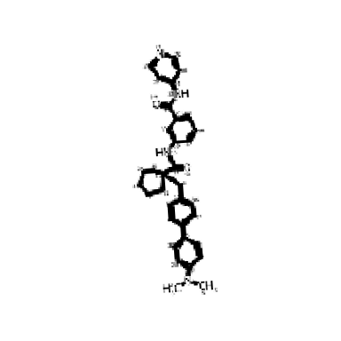 CN(C)c1ccc(-c2ccc(CC3(C(=O)Nc4cccc(C(=O)Nc5ccncc5)c4)CCCCC3)cc2)cc1